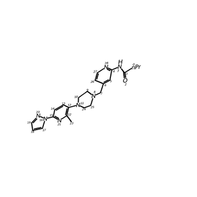 CCCC(=O)Nc1cc(CN2CCN(c3ccc(-n4cccn4)nc3C)CC2)ccn1